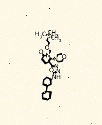 C[Si](C)(C)CCOCn1c(N2CCOCC2)c(-c2nnc(N[C@H]3CCC=C(c4ccccc4)C3)o2)ccc1=O